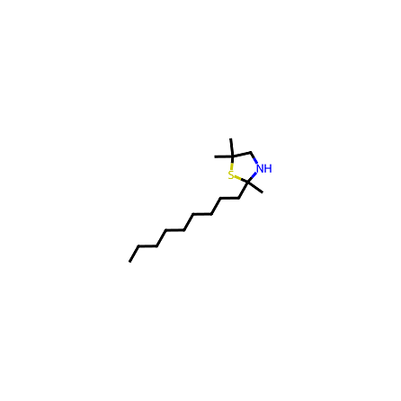 CCCCCCCCCC1(C)NCC(C)(C)S1